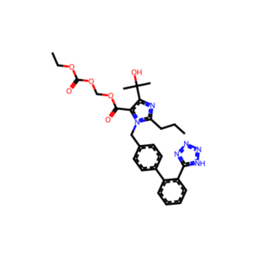 CCCc1nc(C(C)(C)O)c(C(=O)OCOC(=O)OCC)n1Cc1ccc(-c2ccccc2-c2nnn[nH]2)cc1